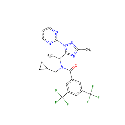 Cc1nc(C(C)N(CC2CC2)C(=O)c2cc(C(F)(F)F)cc(C(F)(F)F)c2)n(-c2ncccn2)n1